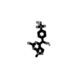 Cn1ncc2c(C(N)c3ccc(S(N)(=O)=O)cc3)nc(Cl)nc21